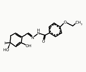 CCOc1ccc(C(=O)N/N=C/C2=CC[C@@](O)(I)C=C2O)cc1